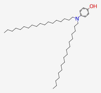 CCCCCCCCCCCCCCCCCCN(CCCCCCCCCCCCCCCCCC)c1ccc(O)cc1